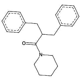 O=C(C(Cc1ccccc1)Cc1ccccc1)N1CCCCC1